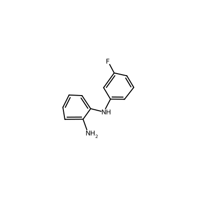 Nc1ccccc1Nc1cccc(F)c1